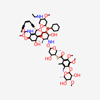 CC#C/C=C\C#C[C@H](O[C@@H]1O[C@H](C)[C@@H](NO[C@H]2C[C@H](O)[C@H](SC(=O)c3c(C)c(I)c(O[C@@H]4O[C@@H](C)[C@H](O)[C@@H](OC)[C@H]4O)c(OC)c3OC)[C@@H](C)O2)[C@H](O)[C@H]1O[C@H]1C[C@H](OC)[C@@H](NCC)CO1)C1=C(NC(=O)OC)C(=O)C[C@](C)(O)/C1=C/CSSC1CCCCC1